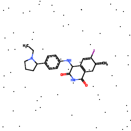 C=C1CC2=C(C=C1I)C(Nc1ccc(C3CCCN3CC)cc1)C(=O)NC2=O